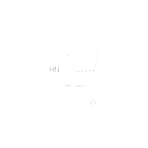 O=C1CNC2CC[C]1C2